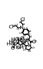 N[C@@H](Cc1ccc(N(CCCl)CCCl)cc1)C(=O)N1CCCC1CCC(O)(P(=O)(O)O)P(=O)(O)O